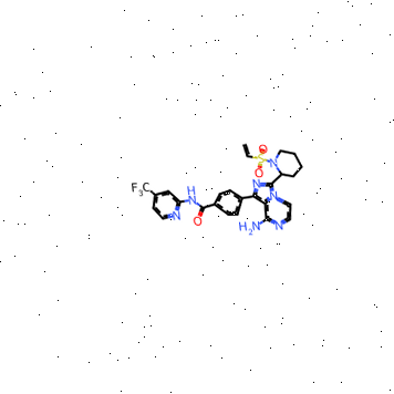 C=CS(=O)(=O)N1CCCCC1c1nc(-c2ccc(C(=O)Nc3cc(C(F)(F)F)ccn3)cc2)c2c(N)nccn12